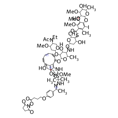 CCN(C(C)=O)C1COC(OC2C(O[C@H]3C#C/C=C\C#C[C@]4(O)CC(=O)C(NC(=O)OC)=C3/C4=C\CSSC(C)(C)N/N=C(\C)c3ccc(OCCCC(=O)ON4C(=O)CCC4=O)cc3)OC(C)C(NOC3CC(O)C(SC(=O)c4c(C)c(I)c(OC5OC(C)C(O)C(OC)C5O)c(OC)c4OC)C(C)O3)C2O)CC1OC